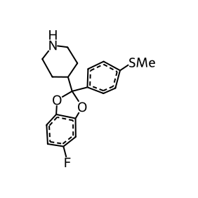 CSc1ccc(C2(C3CCNCC3)Oc3ccc(F)cc3O2)cc1